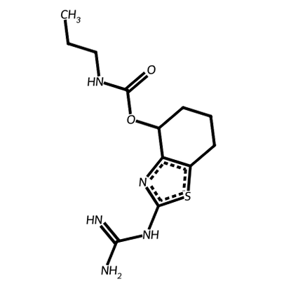 CCCNC(=O)OC1CCCc2sc(NC(=N)N)nc21